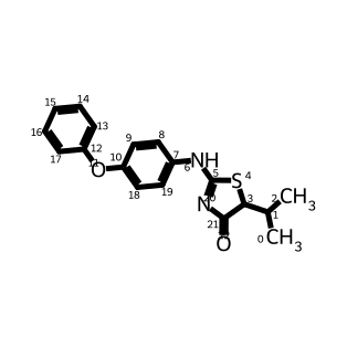 CC(C)C1SC(Nc2ccc(Oc3ccccc3)cc2)=NC1=O